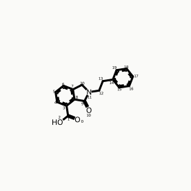 O=C(O)c1cccc2c1C(=O)N(CCc1ccccc1)C2